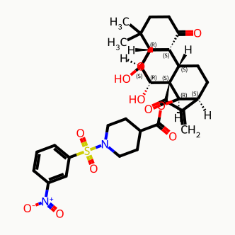 C=C1C(=O)[C@]23[C@H](OC(=O)C4CCN(S(=O)(=O)c5cccc([N+](=O)[O-])c5)CC4)[C@H]1CC[C@H]2[C@@]12CO[C@@]3(O)[C@@H](O)[C@@H]1C(C)(C)CCC2=O